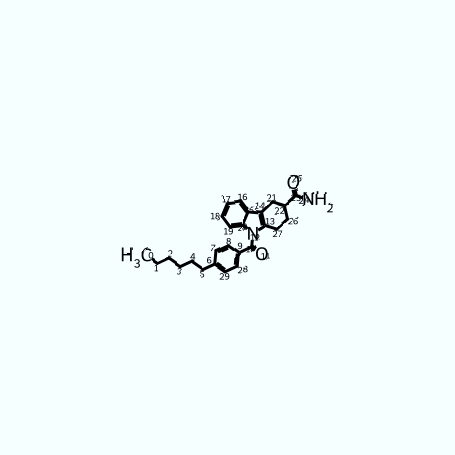 CCCCCCc1ccc(C(=O)n2c3c(c4ccccc42)CC(C(N)=O)CC3)cc1